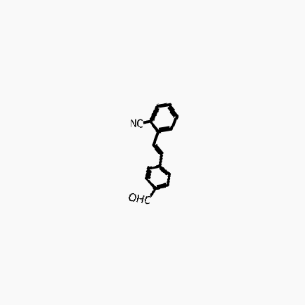 N#Cc1ccccc1C=Cc1ccc(C=O)cc1